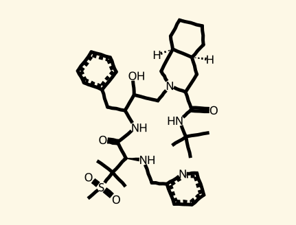 CC(C)(C)NC(=O)C1C[C@@H]2CCCC[C@@H]2CN1CC(O)C(Cc1ccccc1)NC(=O)[C@@H](NCc1ccccn1)C(C)(C)S(C)(=O)=O